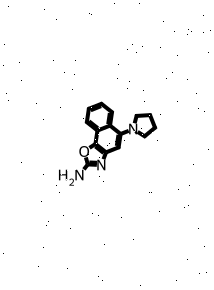 Nc1nc2cc(N3CCCC3)c3ccccc3c2o1